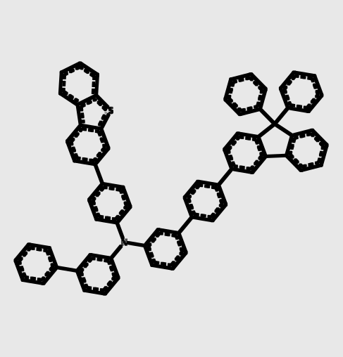 c1ccc(-c2cccc(N(c3ccc(-c4ccc5c(c4)sc4ccccc45)cc3)c3cccc(-c4ccc(-c5ccc6c(c5)-c5ccccc5C6(c5ccccc5)c5ccccc5)cc4)c3)c2)cc1